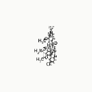 CCOc1c(CC(N)=O)cc([C@@](O)(CNC(=O)c2cc(OC)c3nn(C4CC4)cc3c2)C(F)(F)F)nc1-c1cc(Cl)ccc1F